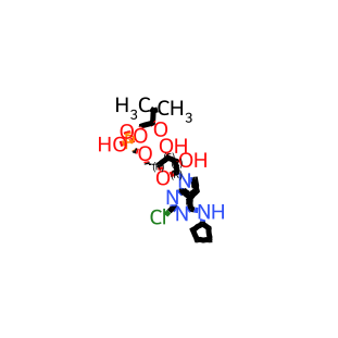 CC(C)C(=O)COP(=O)(O)COC[C@H]1O[C@@H](n2ccc3c(NC4CCCC4)nc(Cl)nc32)[C@H](O)[C@@H]1O